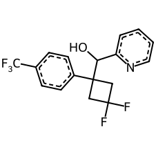 OC(c1ccccn1)C1(c2ccc(C(F)(F)F)cc2)CC(F)(F)C1